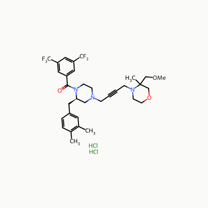 COCC1(C)COCCN1CC#CCN1CCN(C(=O)c2cc(C(F)(F)F)cc(C(F)(F)F)c2)[C@H](Cc2ccc(C)c(C)c2)C1.Cl.Cl